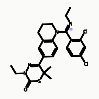 CC/N=C(/c1ccc(Cl)cc1Cl)N1CCCc2cc(C3=NN(CC)C(=O)SC3(C)C)ccc21